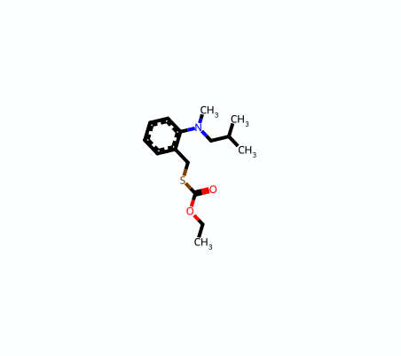 CCOC(=O)SCc1ccccc1N(C)CC(C)C